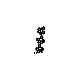 CC1(C)c2cccc3c2-c2c1cc(Cl)c1cccc(c21)-c1ccc(-c2cc4cccc5c4c4c2C(C)(C)c2cc(Cl)cc(c2-4)-c2cc(-c4cc6c7c8c(cccc48)-c4ccc(Cl)cc4-c4cccc(c4-7)C6(C)C)ccc2-5)cc1-3